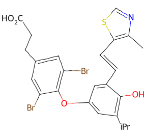 Cc1ncsc1/C=C/c1cc(Oc2c(Br)cc(CCC(=O)O)cc2Br)cc(C(C)C)c1O